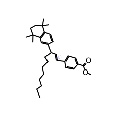 CCCCCCCCC(/C=C/c1ccc(C(=O)OC)cc1)c1ccc2c(c1)C(C)(C)CCC2(C)C